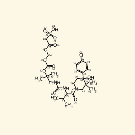 CC(C)[C@@H](NC(=O)NCC(C)(C)OC(=O)OCOC(=O)CS(=O)(=O)O)C(=O)N1CC[C@](O)(c2ccc(Cl)cc2)C(C)(C)C1